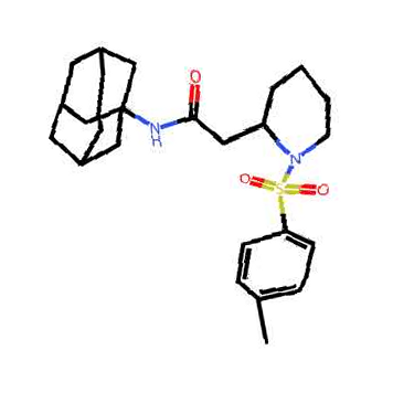 Cc1ccc(S(=O)(=O)N2CCCCC2CC(=O)NC23CC4CC(CC(C4)C2)C3)cc1